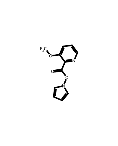 O=C(On1cccc1)c1ncccc1OC(F)(F)F